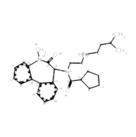 CC(C)CCNCCN(C(=O)C1CCCC1)C1C(=O)N(C)c2ccccc2-c2ccccc21